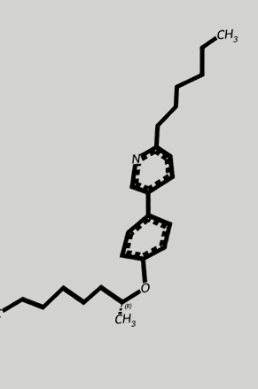 CCCCCCc1ccc(-c2ccc(O[C@H](C)CCCCCC)cc2)cn1